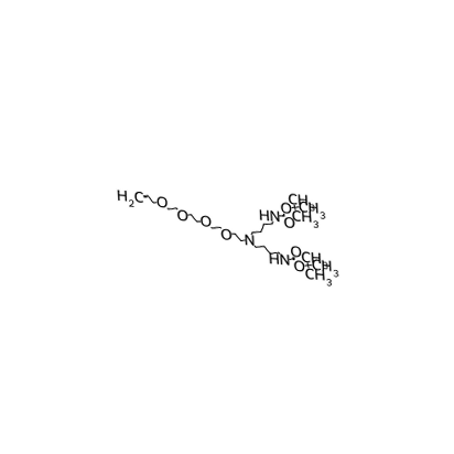 C=CCOCCOCCOCCOCCN(CCCCNC(=O)OC(C)(C)C)CCCCNC(=O)OC(C)(C)C